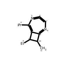 CCC1C2=C(C(C)C)N=C=CN=C2C1C